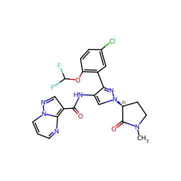 CN1CC[C@H](n2cc(NC(=O)c3cnn4cccnc34)c(-c3cc(Cl)ccc3OC(F)F)n2)C1=O